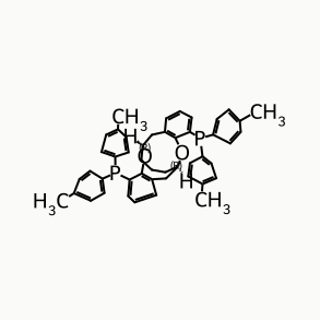 Cc1ccc(P(c2ccc(C)cc2)c2cccc3c2O[C@@H]2CCC[C@H](C3)Oc3c(cccc3P(c3ccc(C)cc3)c3ccc(C)cc3)C2)cc1